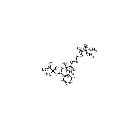 CCC(=O)C(C)(C)CC(CC(C)(CC)C(=O)OCCOC(=O)C(C)(C)CC)c1ccncc1